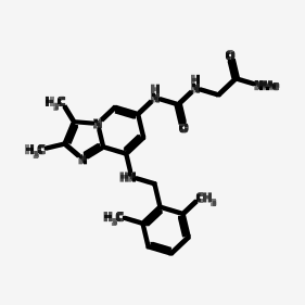 CNC(=O)CNC(=O)Nc1cc(NCc2c(C)cccc2C)c2nc(C)c(C)n2c1